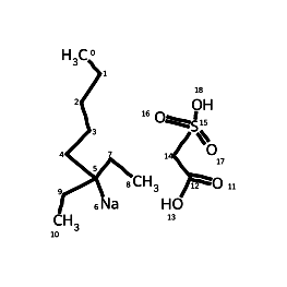 CCCCC[C]([Na])(CC)CC.O=C(O)CS(=O)(=O)O